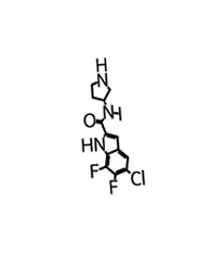 O=C(c1cc2cc(Cl)c(F)c(F)c2[nH]1)N(I)[C@H]1CCNC1